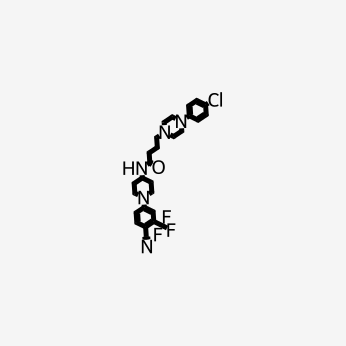 N#Cc1ccc(N2CCC(NC(=O)CCCN3CCN(c4ccc(Cl)cc4)CC3)CC2)cc1C(F)(F)F